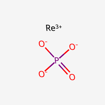 O=P([O-])([O-])[O-].[Re+3]